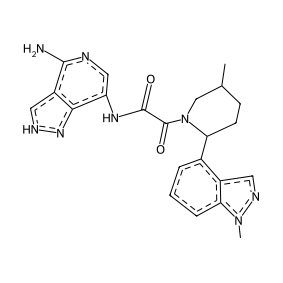 CC1CCC(c2cccc3c2cnn3C)N(C(=O)C(=O)Nc2cnc(N)c3c[nH]nc23)C1